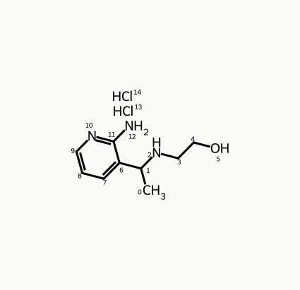 CC(NCCO)c1cccnc1N.Cl.Cl